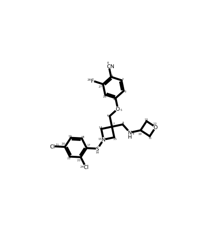 N#Cc1ccc(OCC2(CNC3COC3)CN(Sc3ccc(Cl)cc3Cl)C2)cc1F